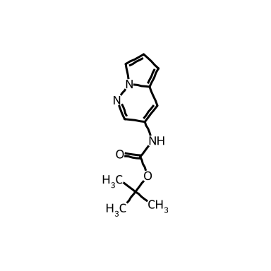 CC(C)(C)OC(=O)Nc1cnn2cccc2c1